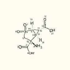 N[C@@]1(C(=O)O)CS(=O)(=O)[C@H]2[C@H](C(=O)O)[C@H]21